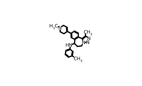 Cc1cccc(NC2CCn3nnc(C)c3-c3ccc(C4=CCN(C)CC4)cc32)c1